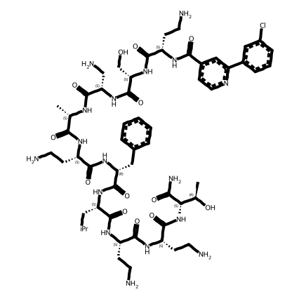 CC(C)C[C@H](NC(=O)[C@@H](Cc1ccccc1)NC(=O)[C@H](CCN)NC(=O)[C@H](C)NC(=O)[C@H](CN)NC(=O)[C@H](CO)NC(=O)[C@H](CCN)NC(=O)c1ccnc(-c2cccc(Cl)c2)c1)C(=O)N[C@@H](CCN)C(=O)N[C@@H](CCN)C(=O)N[C@H](C(N)=O)[C@@H](C)O